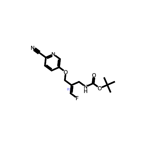 CC(C)(C)OC(=O)NC/C(=C\F)COc1ccc(C#N)nc1